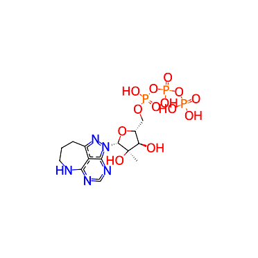 C[C@@]1(O)[C@H](O)[C@@H](COP(=O)(O)OP(=O)(O)OP(=O)(O)O)O[C@H]1n1nc2c3c(ncnc31)NCCC2